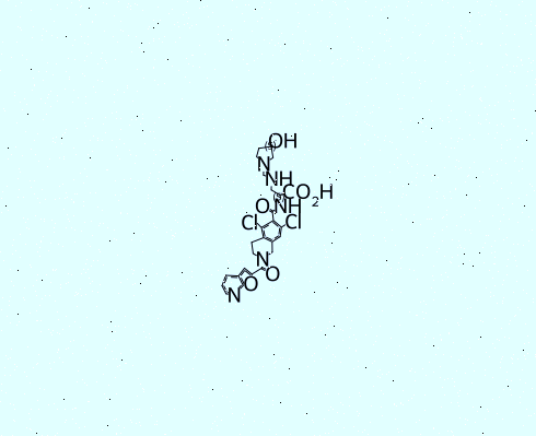 O=C(N[C@@H](CNCN1CC[C@H](O)C1)C(=O)O)c1c(Cl)cc2c(c1Cl)CCN(C(=O)c1cc3cccnc3o1)C2